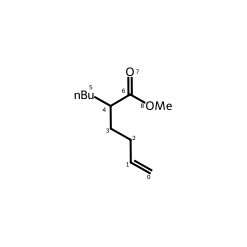 C=CCCC(CCCC)C(=O)OC